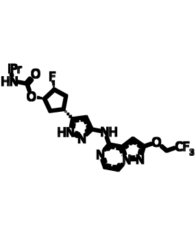 CC(C)NC(=O)O[C@H]1C[C@@H](c2cc(Nc3nccn4nc(OCC(F)(F)F)cc34)n[nH]2)C[C@H]1F